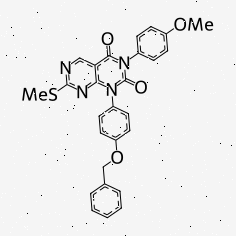 COc1ccc(-n2c(=O)c3cnc(SC)nc3n(-c3ccc(OCc4ccccc4)cc3)c2=O)cc1